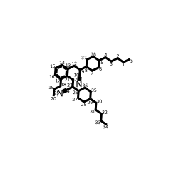 CCCCCC1CCC(C(C#N)Cc2cccc(CCC)c2CC(C#N)C2CCC(CCCCC)CC2)CC1